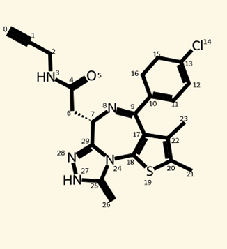 C#CCNC(=O)C[C@@H]1N=C(C2=CC=C(Cl)CC2)c2c(sc(C)c2C)N2C(=C)NN=C12